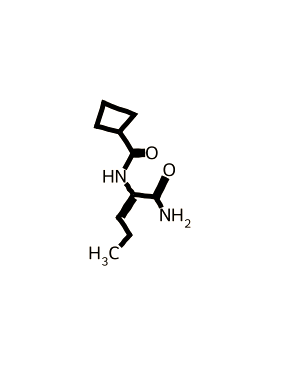 CC/C=C(/NC(=O)C1CCC1)C(N)=O